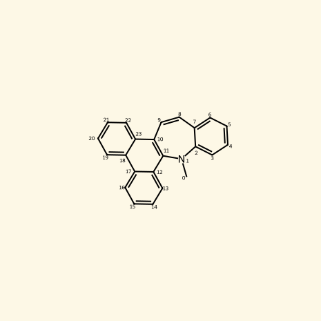 CN1c2ccccc2C=Cc2c1c1ccccc1c1ccccc21